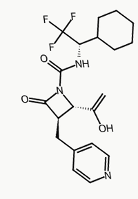 C=C(O)[C@@H]1[C@@H](Cc2ccncc2)C(=O)N1C(=O)N[C@@H](C1CCCCC1)C(F)(F)F